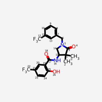 CC1(C)C(=O)N(Cc2cccc(C(F)(F)F)c2)CC1NC(=O)c1cc(C(F)(F)F)ccc1O